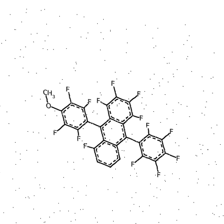 COc1c(F)c(F)c(-c2c3c(F)cccc3c(-c3c(F)c(F)c(F)c(F)c3F)c3c(F)c(F)c(F)c(F)c23)c(F)c1F